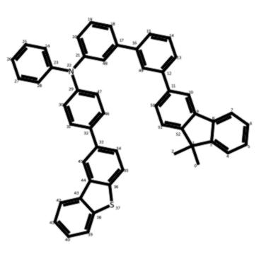 CC1(C)c2ccccc2-c2cc(-c3cccc(-c4cccc(N(c5ccccc5)c5ccc(-c6ccc7sc8ccccc8c7c6)cc5)c4)c3)ccc21